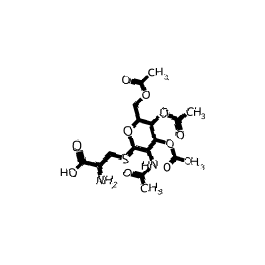 CC(=O)NC1C(SCC(N)C(=O)O)OC(COC(C)=O)C(OC(C)=O)C1OC(C)=O